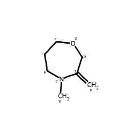 C=C1COCCCN1C